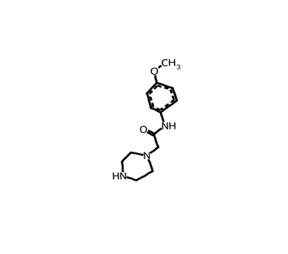 COc1ccc(NC(=O)CN2CCNCC2)cc1